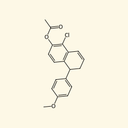 COc1ccc(C2CC=Cc3c2ccc(OC(C)=O)c3Cl)cc1